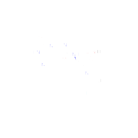 O.O=C1[C@H](NC(=O)N2CCCCC2n2c(=O)[nH]c3ncccc32)CC[C@@H](c2cccc(F)c2F)CN1CC(F)(F)F.[KH]